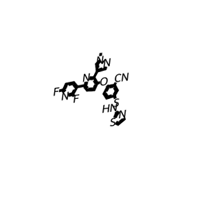 Cn1cc(-c2nc(-c3ccc(F)nc3F)ccc2Oc2ccc(SNc3nccs3)cc2C#N)cn1